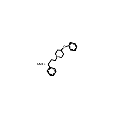 CO[C@H](CCN1CCC(Oc2ccccc2)CC1)c1ccccc1